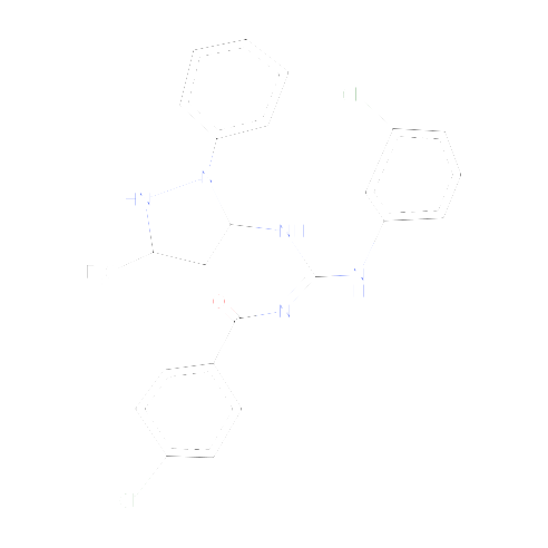 O=C(/N=C(/Nc1cccc(Cl)c1)NC1CC(C(F)(F)F)NN1c1ccccc1)c1ccc(Cl)cc1